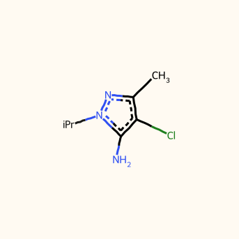 Cc1nn(C(C)C)c(N)c1Cl